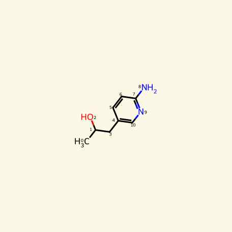 CC(O)Cc1ccc(N)nc1